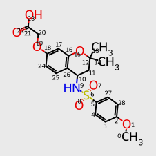 COc1ccc(S(=O)(=O)NC2CC(C)(C)Oc3cc(OCC(=O)O)ccc32)cc1